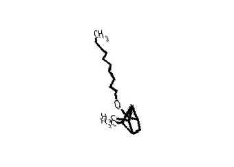 CCCCCCCCCOC12C(C)C3CC1C2C3C